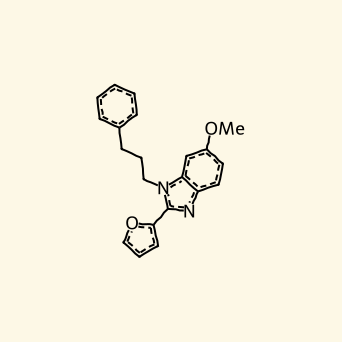 COc1ccc2nc(-c3ccco3)n(CCCc3ccccc3)c2c1